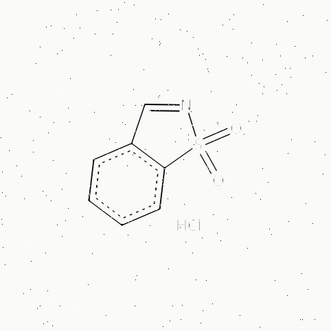 Cl.O=S1(=O)N=Cc2ccccc21